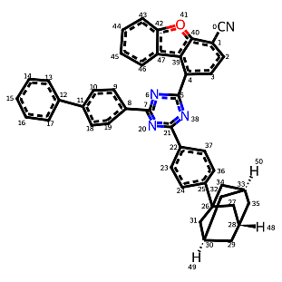 N#Cc1ccc(-c2nc(-c3ccc(-c4ccccc4)cc3)nc(-c3ccc(C45C[C@H]6C[C@@H](C4)C[C@@H](C5)C6)cc3)n2)c2c1oc1ccccc12